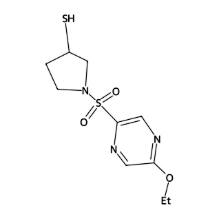 CCOc1cnc(S(=O)(=O)N2CCC(S)C2)cn1